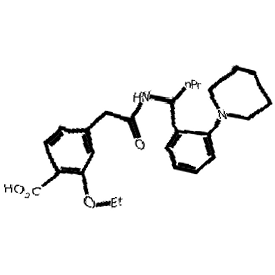 CCCC(NC(=O)Cc1ccc(C(=O)O)c(OCC)c1)c1ccccc1N1CCCCC1